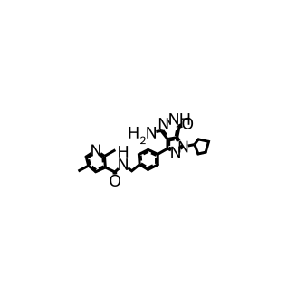 Cc1cnc(C)c(C(=O)NCc2ccc(-c3nn(C4CCCC4)c4c(=O)[nH]nc(N)c34)cc2)c1